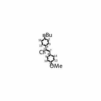 CCCCc1ccc(/C(Cl)=C/c2ccc(OC)cc2)cc1